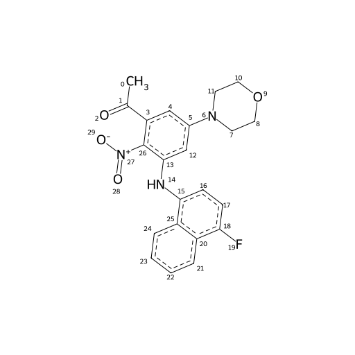 CC(=O)c1cc(N2CCOCC2)cc(Nc2ccc(F)c3ccccc23)c1[N+](=O)[O-]